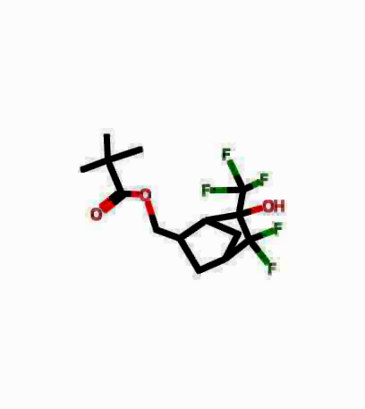 CC(C)(C)C(=O)OCC1CC2CC1C(O)(C(F)(F)F)C2(F)F